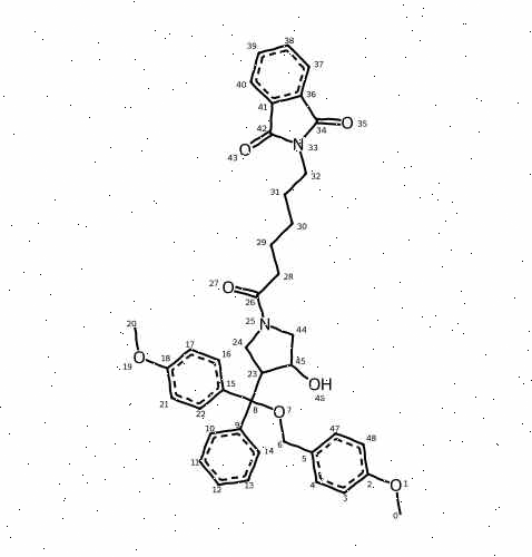 COc1ccc(COC(c2ccccc2)(c2ccc(OC)cc2)C2CN(C(=O)CCCCCN3C(=O)c4ccccc4C3=O)CC2O)cc1